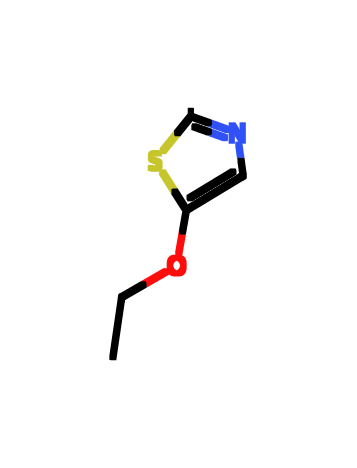 CCOc1cn[c]s1